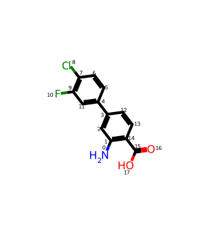 Nc1cc(-c2ccc(Cl)c(F)c2)ccc1C(=O)O